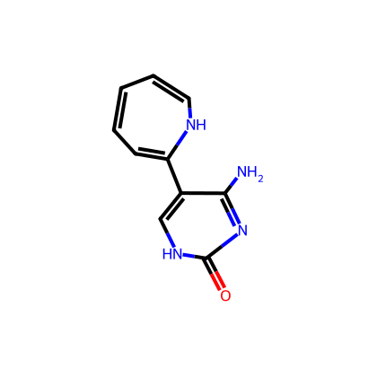 Nc1nc(=O)[nH]cc1C1=CC=CC=CN1